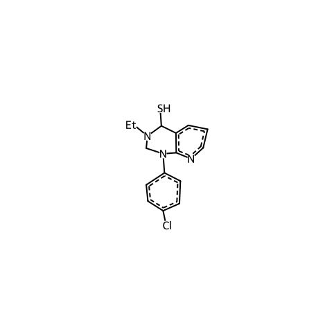 CCN1CN(c2ccc(Cl)cc2)c2ncccc2C1S